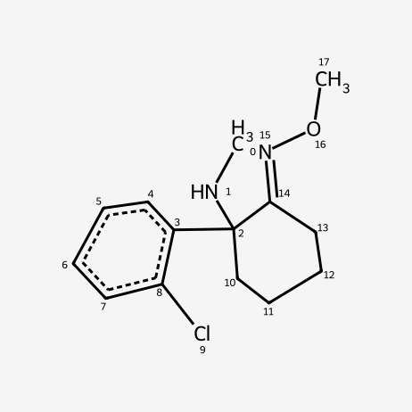 CNC1(c2ccccc2Cl)CCCCC1=NOC